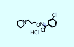 Cl.Cl/C(=N\OCCCN1CCCCC1)c1cccc(Cl)c1